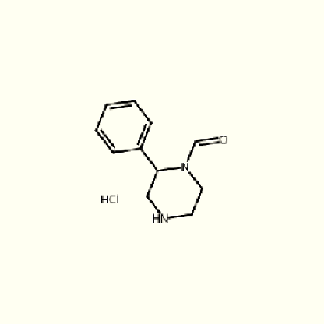 Cl.O=CN1CCNCC1c1ccccc1